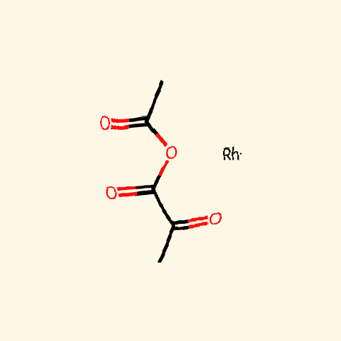 CC(=O)OC(=O)C(C)=O.[Rh]